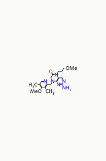 COCCCN1C(=O)CN(Cc2ncc(C)c(OC)c2C)c2nc(N)ncc21